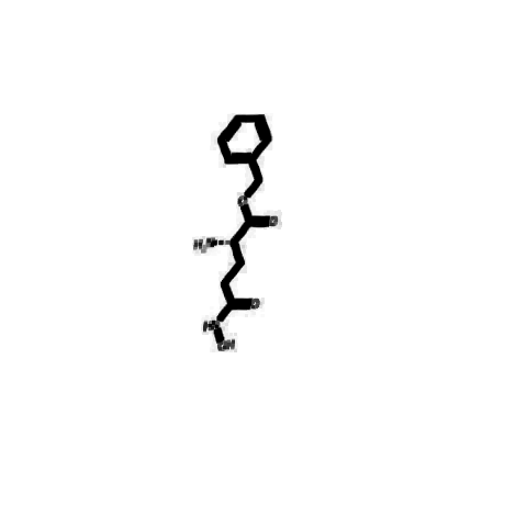 N[C@@H](CCC(=O)NO)C(=O)OCc1ccccc1